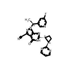 C[C@@H](c1cncc(F)c1)n1nc(C#N)c2c(=O)[nH]c([C@@H]3CC[C@H]3c3ncccn3)nc21